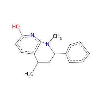 CC1CC(c2ccccc2)N(C)c2nc(O)ccc21